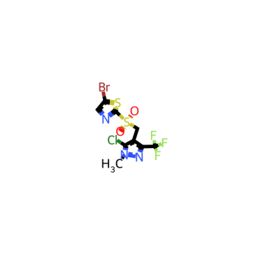 Cn1nc(C(F)(F)F)c(CS(=O)(=O)c2ncc(Br)s2)c1Cl